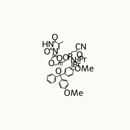 COc1ccc(C(OC[C@]2(COP(CC(=O)C#N)N(C(C)C)C(C)C)COC[C@H](n3cc(C)c(=O)[nH]c3=O)O2)(c2ccccc2)c2ccc(OC)cc2)cc1